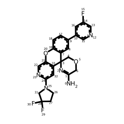 NC1=NC2(COC1)c1cc(-c3cncc(F)c3)ccc1Oc1cnc(N3CCC(F)(F)C3)cc12